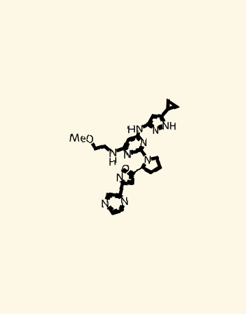 COCCNc1cc(Nc2cc(C3CC3)[nH]n2)nc(N2CCC[C@H]2c2cc(-c3cnccn3)no2)n1